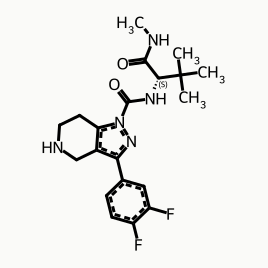 CNC(=O)[C@@H](NC(=O)n1nc(-c2ccc(F)c(F)c2)c2c1CCNC2)C(C)(C)C